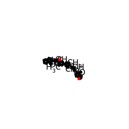 Cc1cc(-c2cc(C)c(OC(O)COc3ccc4ccccc4c3C=O)c(C)c2)cc(C)c1OCC(O)COc1ccc2ccccc2c1C=O